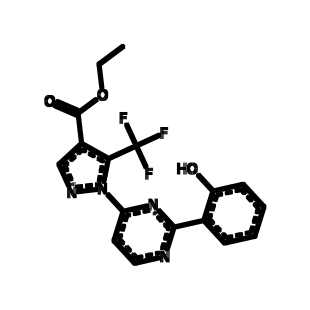 CCOC(=O)c1cnn(-c2ccnc(-c3ccccc3O)n2)c1C(F)(F)F